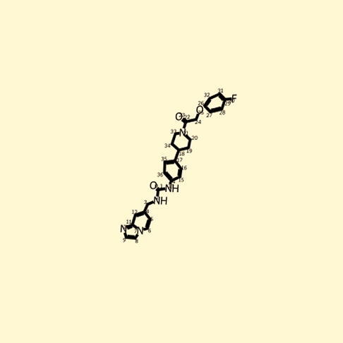 O=C(NCc1ccn2ccnc2c1)Nc1ccc(C2CCN(C(=O)COc3ccc(F)cc3)CC2)cc1